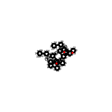 O=P(c1cccc(-c2ccccc2)c1)(c1cccc(-c2ccccc2)c1)c1ccc2c(c1)-c1cc(-c3ccccc3-c3ccccc3)ccc1N(c1ccccc1)c1ccc(-c3ccccc3-c3ccccc3)cc1-c1cc(P(=O)(c3cccc(-c4ccccc4)c3)c3cccc(-c4ccccc4)c3)ccc1O2